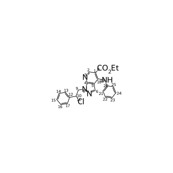 CCOC(=O)c1cnc2c(cnn2CC(Cl)c2ccccc2)c1Nc1ccccc1